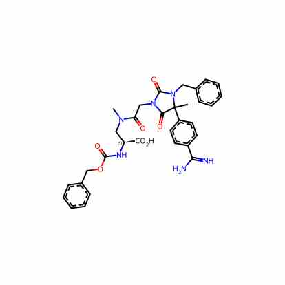 CN(C[C@H](NC(=O)OCc1ccccc1)C(=O)O)C(=O)CN1C(=O)N(Cc2ccccc2)C(C)(c2ccc(C(=N)N)cc2)C1=O